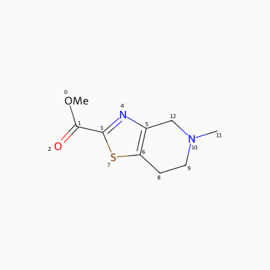 COC(=O)c1nc2c(s1)CCN(C)C2